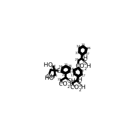 CCC(CO)(CO)CO.O=C(O)CC(S)c1ccccc1.O=C(O)CC(S)c1ccccc1.O=C(O)CC(S)c1ccccc1